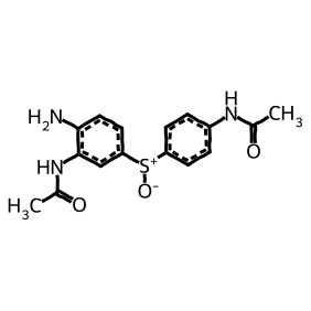 CC(=O)Nc1ccc([S+]([O-])c2ccc(N)c(NC(C)=O)c2)cc1